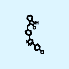 O=C1Nc2ccccc2C1=Cc1ccc(-c2cn(-c3ccc(Cl)cc3)nn2)cc1